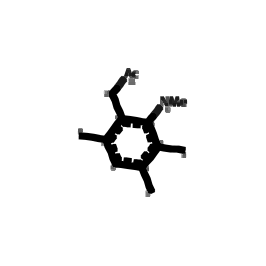 CNc1c(C)c(C)cc(C)c1CC(C)=O